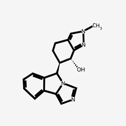 Cn1cc2c(n1)[C@H](O)[C@@H](C1c3ccccc3-c3cncn31)CC2